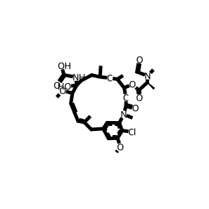 COc1cc2cc(c1Cl)N(C)C(=O)CC(OC(=O)[C@H](C)N(C)C=O)C(C)CC(C)CCC(O)(NC(=O)O)C(OC)/C=C/C=C(\C)C2